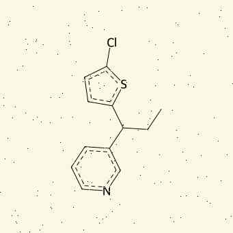 CC[C](c1cccnc1)c1ccc(Cl)s1